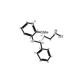 CCNCC[C@@H](Oc1cccnc1OC)c1ccccc1